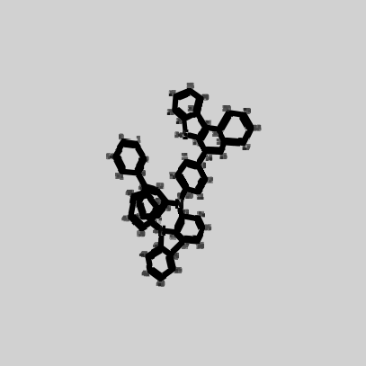 c1ccc(-c2cccc(N(c3ccc(-c4cc5ccccc5c5c4sc4ccccc45)cc3)c3cccc4c5ccccc5n(-c5ccccc5)c34)c2)cc1